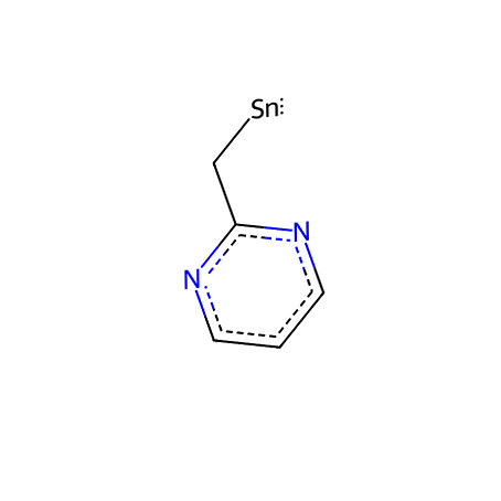 [Sn][CH2]c1ncccn1